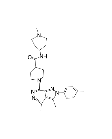 Cc1ccc(-n2nc3c(N4CCC(C(=O)NC5CCN(C)CC5)CC4)nnc(C)c3c2C)cc1